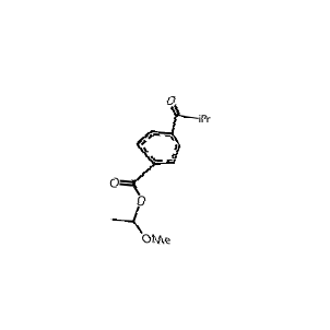 COC(C)OC(=O)c1ccc(C(=O)C(C)C)cc1